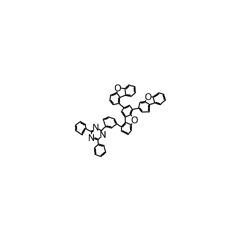 c1ccc(-c2nc(-c3ccccc3)nc(-c3cccc(-c4cccc5oc6c(-c7ccc8c(c7)oc7ccccc78)cc(-c7cccc8oc9ccccc9c78)cc6c45)c3)n2)cc1